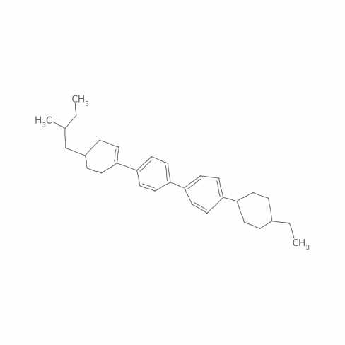 CCC(C)CC1CC=C(c2ccc(-c3ccc(C4CCC(CC)CC4)cc3)cc2)CC1